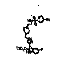 CCOC(=O)c1[nH]c2ccc(F)cc2c1-c1cn(CC2CCN(CCNS(=O)(=O)c3ccc(CC)cc3)CC2)nn1